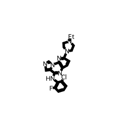 CCN1CCN(c2ccc3nc(Nc4c(F)cccc4Cl)c4cncn4c3n2)CC1